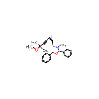 COC(C)(C)C#C/C=C\CN(C)C(OCc1ccccc1)c1ccccc1